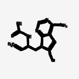 C=CC(Cn1c(Br)cc2c(N)ncnc21)NC(=O)O